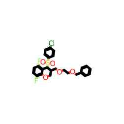 O=S(=O)(c1ccc(Cl)cc1)C1c2c(F)ccc(F)c2OCC1COCCOCc1ccccc1